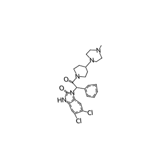 CN1CCN(C2CCN(C(=O)C(c3ccccc3)n3c(=O)[nH]c4cc(Cl)c(Cl)cc43)CC2)CC1